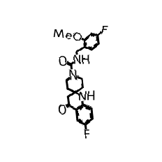 COc1cc(F)ccc1CNC(=O)N1CCC2(CC1)CC(=O)c1cc(F)ccc1N2